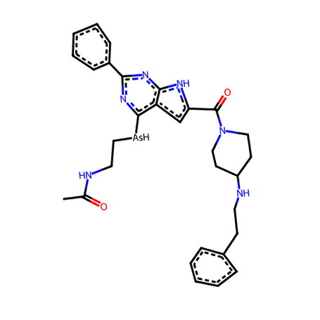 CC(=O)NCC[AsH]c1nc(-c2ccccc2)nc2[nH]c(C(=O)N3CCC(NCCc4ccccc4)CC3)cc12